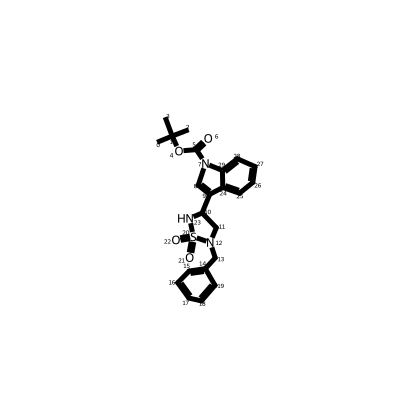 CC(C)(C)OC(=O)n1cc(C2CN(Cc3ccccc3)S(=O)(=O)N2)c2ccccc21